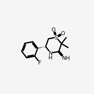 CC1(C)C(=N)N[C@H](c2ccccc2F)CS1(=O)=O